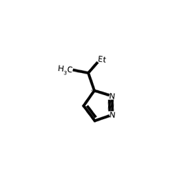 CCC(C)[C]1C=CN=N1